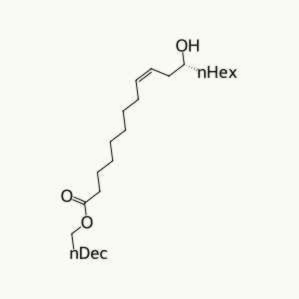 CCCCCCCCCCCOC(=O)CCCCCCC/C=C\C[C@H](O)CCCCCC